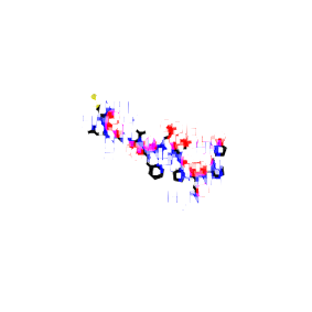 CSCC[C@H](NC(=O)[C@H](CC(C)C)NC(=O)CNC(=O)[C@@H](NC(=O)[C@H](Cc1ccccc1)NC(=O)[C@H](CCC(=O)O)NC(=O)[C@H](CC(=O)O)NC(=O)[C@@H]1CCCN1C(=O)[C@H](CC(N)=O)NC(=O)[C@@H]1CCCN1C(=O)[C@@H]1CCC(=O)N1)C(C)C)C(N)=O